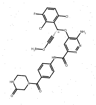 BOC#C[C@@H](Oc1cc(C(=O)Nc2ccc(C(=O)N3CCNC(=O)C3)cc2)nnc1N)c1c(Cl)ccc(F)c1Cl